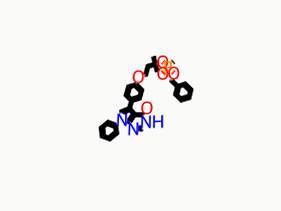 CC(C)(CCOc1ccc(-c2cn(-c3ccccc3)c3nc[nH]c(=O)c23)cc1)OP(C)(=O)OCc1ccccc1